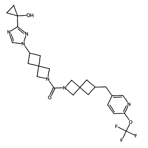 O=C(N1CC2(CC(Cc3ccc(OC(F)(F)F)nc3)C2)C1)N1CC2(CC(n3cnc(C4(O)CC4)n3)C2)C1